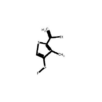 C=C(CC)c1scc(SF)c1C